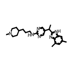 Cc1cc(C)c2nc(C(C)c3cnc(NCCCC4CCN(C)CC4)nc3)[nH]c2c1